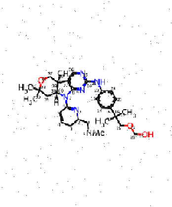 CNCC1CC=CC(N2c3nc(Nc4ccc(C(C)(C)COCO)cc4)ncc3[C@@]3(C)COC(C)(C)C[C@@H]23)=N1